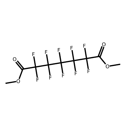 COC(=O)C(F)(F)C(F)(F)C(F)(F)C(F)(F)C(F)(F)C(=O)OC